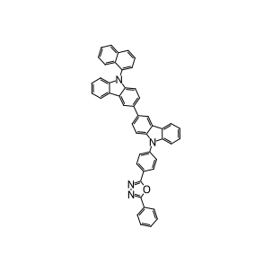 c1ccc(-c2nnc(-c3ccc(-n4c5ccccc5c5cc(-c6ccc7c(c6)c6ccccc6n7-c6cccc7ccccc67)ccc54)cc3)o2)cc1